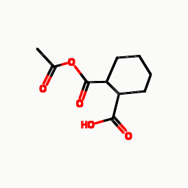 CC(=O)OC(=O)C1CCCCC1C(=O)O